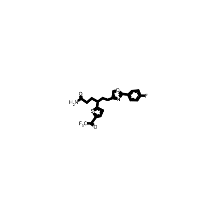 NC(=O)CCC(CCc1coc(-c2ccc(F)cc2)n1)c1ccc(C(=O)C(F)(F)F)s1